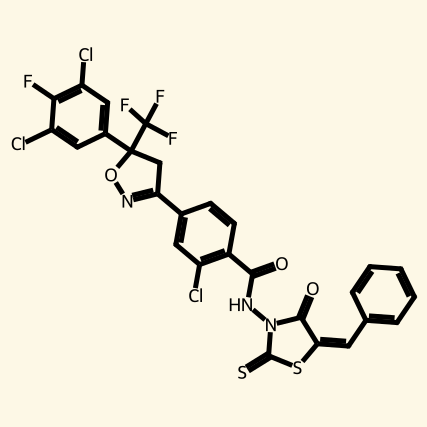 O=C(NN1C(=O)C(=Cc2ccccc2)SC1=S)c1ccc(C2=NOC(c3cc(Cl)c(F)c(Cl)c3)(C(F)(F)F)C2)cc1Cl